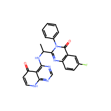 CC(Nc1ncnc2[nH]ccc(=O)c12)c1nc2ccc(F)cc2c(=O)n1-c1ccccc1